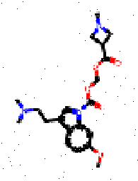 COc1ccc2c(CCN(C)C)cn(C(=O)OCOC(=O)C3CN(C)C3)c2c1